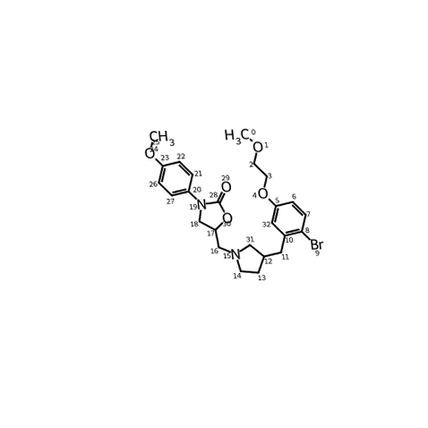 COCCOc1ccc(Br)c(CC2CCN(CC3CN(c4ccc(OC)cc4)C(=O)O3)C2)c1